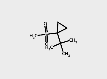 CC(C)(C)C1(S(C)(=O)=O)CC1